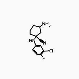 N#CC1(Nc2ccc(F)c(Cl)c2)CCCC(N)C1